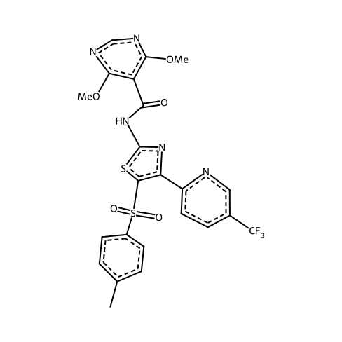 COc1ncnc(OC)c1C(=O)Nc1nc(-c2ccc(C(F)(F)F)cn2)c(S(=O)(=O)c2ccc(C)cc2)s1